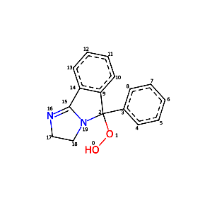 OOC1(c2ccccc2)c2ccccc2C2=NCCN21